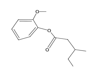 CCC(C)CC(=O)Oc1ccccc1OC